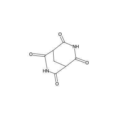 O=C1NC(=O)C2CC1C(=O)NC2=O